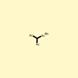 CC(=O)C(C(C)=O)C(C)=O.[Rh]